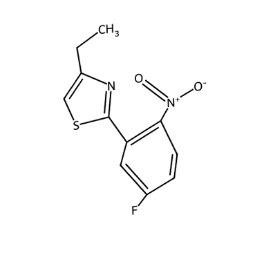 CCc1csc(-c2cc(F)ccc2[N+](=O)[O-])n1